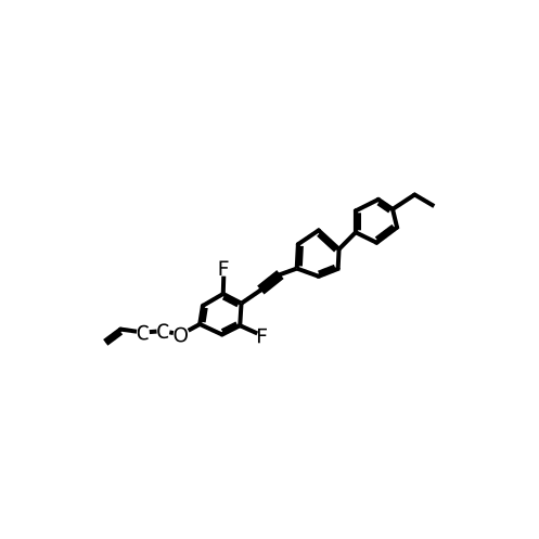 C=CCCOc1cc(F)c(C#Cc2ccc(-c3ccc(CC)cc3)cc2)c(F)c1